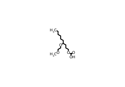 CCCCCCC(CCCOC(=O)O)OCCOC